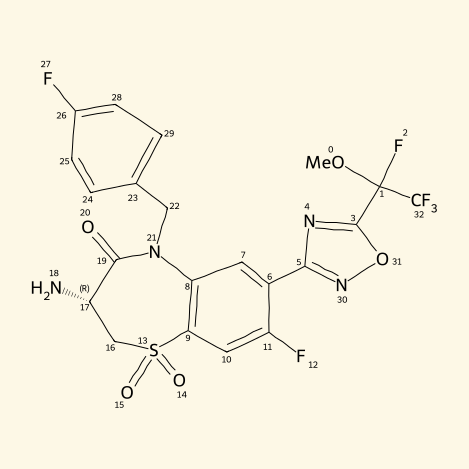 COC(F)(c1nc(-c2cc3c(cc2F)S(=O)(=O)C[C@H](N)C(=O)N3Cc2ccc(F)cc2)no1)C(F)(F)F